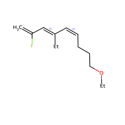 C=C(F)/C=C(/C=C\CCCOCC)CC